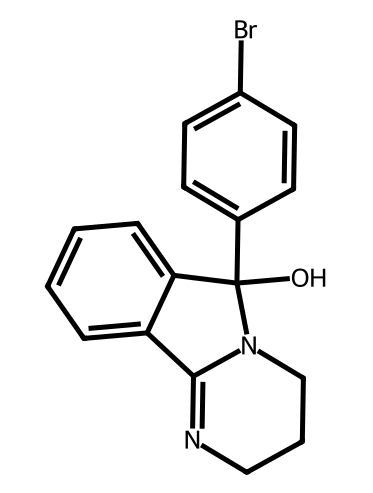 OC1(c2ccc(Br)cc2)c2ccccc2C2=NCCCN21